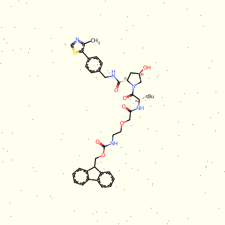 Cc1ncsc1-c1ccc(CNC(=O)[C@@H]2C[C@@H](O)CN2C(=O)[C@@H](NC(=O)COCCNC(=O)OCC2c3ccccc3-c3ccccc32)C(C)(C)C)cc1